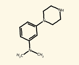 CN(C)c1cccc(N2CCNCC2)c1